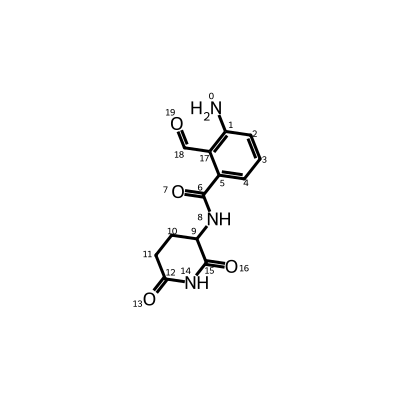 Nc1cccc(C(=O)NC2CCC(=O)NC2=O)c1C=O